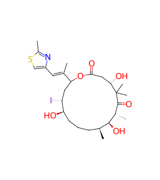 C/C(=C\c1csc(C)n1)C1C[C@@H](I)[C@H](O)CCC[C@H](C)[C@H](O)[C@@H](C)C(=O)C(C)(C)[C@@H](O)CC(=O)O1